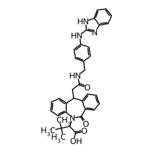 CC(C)(C)C(C(=O)O)N1C(=O)c2ccccc2C(CC(=O)NCc2ccc(Nc3nc4ccccc4[nH]3)cc2)c2ccccc21